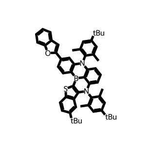 Cc1cc(C(C)(C)C)cc(C)c1N1c2cc(-c3cc4ccccc4o3)ccc2B2c3sc4ccc(C(C)(C)C)cc4c3N(c3c(C)cc(C(C)(C)C)cc3C)c3cccc1c32